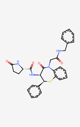 O=C(CN1C(=O)[C@H](NC(=O)[C@@H]2CCC(=O)N2)[C@H](c2ccccc2)Sc2ccccc21)NCc1ccccc1